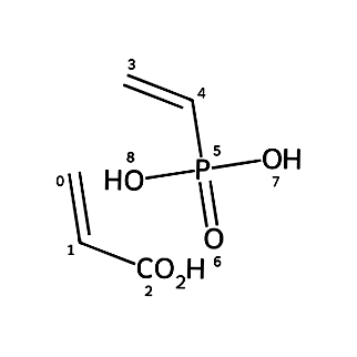 C=CC(=O)O.C=CP(=O)(O)O